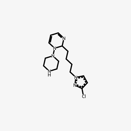 Clc1ccn(CCCCC2N=CC=CN2N2CCNCC2)n1